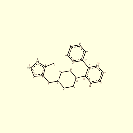 Cc1n[nH]cc1CN1CCN(c2nccnc2-c2ccccc2)CC1